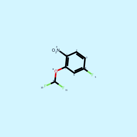 O=[N+]([O-])c1ccc(F)cc1OC(F)F